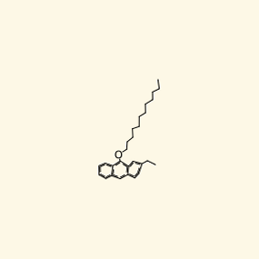 CCCCCCCCCCCCOc1c2ccccc2cc2ccc(CC)cc12